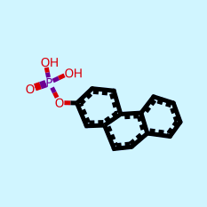 O=P(O)(O)Oc1ccc2c(ccc3ccccc32)c1